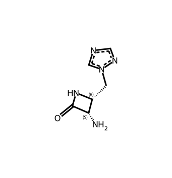 N[C@@H]1C(=O)N[C@@H]1Cn1cncn1